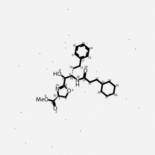 COC(=O)[C@@H]1COC(C(O)[C@H](CCc2ccccc2)NC(=O)CCC2CCCCC2)=N1